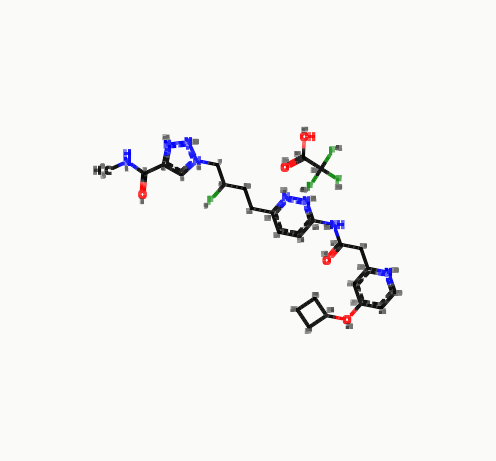 CNC(=O)c1cn(CC(F)CCc2ccc(NC(=O)Cc3cc(OC4CCC4)ccn3)nn2)nn1.O=C(O)C(F)(F)F